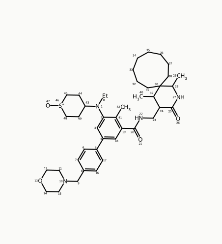 CCN(c1cc(-c2ccc(CN3CCOCC3)cc2)cc(C(=O)NCC2C(=O)NC(C)C3(CCCCCCCC3)C2C)c1C)C1CC[S+]([O-])CC1